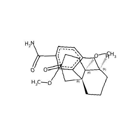 COc1c(C(N)=O)ccc2c1[C@]13CCC[C@H](C2)[C@]1(OC)CCC(=O)C3